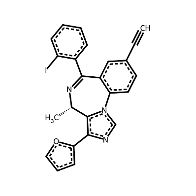 C#Cc1ccc2c(c1)C(c1ccccc1I)=N[C@@H](C)c1c(-c3ccco3)ncn1-2